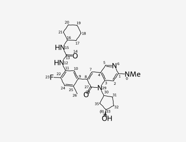 CNc1cc2c(cn1)cc(-c1cc(NC(=O)NC3CCCCC3)c(F)cc1C)c(=O)n2C1CC[C@@H](O)C1